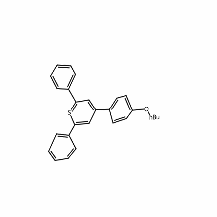 CCCCOc1ccc(-c2cc(-c3ccccc3)[s+]c(-c3ccccc3)c2)cc1